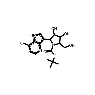 CC(C)(C)OC(=O)N1C(CO)C(O)C(O)C1c1c[nH]c2c(Cl)ncnc12